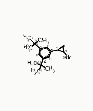 CC(C)(C)c1cc(C2CC2Br)cc(C(C)(C)C)c1